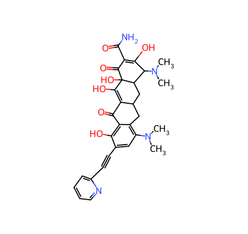 CN(C)c1cc(C#Cc2ccccn2)c(O)c2c1CC1CC3C(N(C)C)C(O)=C(C(N)=O)C(=O)C3(O)C(O)=C1C2=O